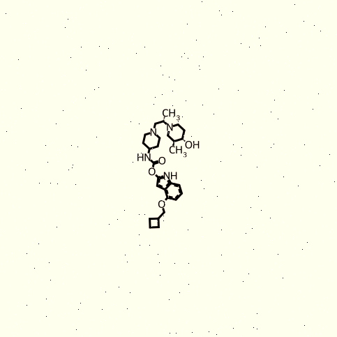 C[C@H]1CN([C@@H](C)CN2CCC(NC(=O)Oc3cc4c(OCC5CCC5)cccc4[nH]3)CC2)CC[C@@H]1O